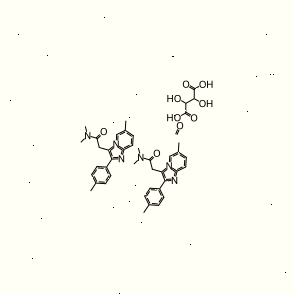 C=O.Cc1ccc(-c2nc3ccc(C)cn3c2CC(=O)N(C)C)cc1.Cc1ccc(-c2nc3ccc(C)cn3c2CC(=O)N(C)C)cc1.O=C(O)C(O)C(O)C(=O)O